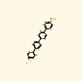 Sc1ccc(-c2ccc(-c3ccc(-c4ccc(S)cc4)cc3)cc2)cc1